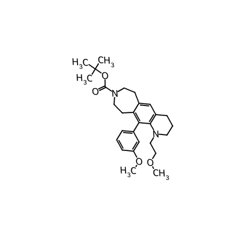 COCCN1CCCc2cc3c(c(-c4cccc(OC)c4)c21)CCN(C(=O)OC(C)(C)C)CC3